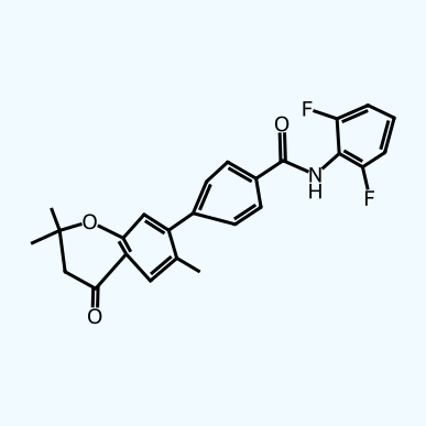 Cc1cc2c(cc1-c1ccc(C(=O)Nc3c(F)cccc3F)cc1)OC(C)(C)CC2=O